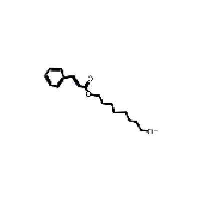 O=C(/C=C/c1ccccc1)OCCCCCCCCO